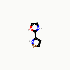 c1coc(-c2ccsn2)n1